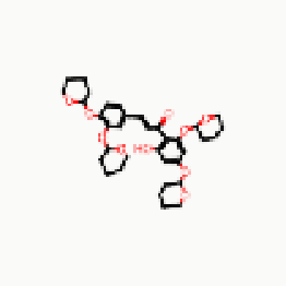 O=C(C=Cc1ccc(OC2CCCCO2)c(OC2CCCCO2)c1)c1c(O)cc(OC2CCCCO2)cc1OC1CCCCO1